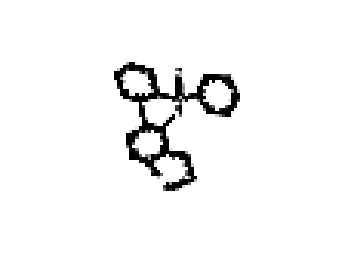 O=S1(c2ccccc2)=Nc2c(ccc3ccccc23)-c2ccccc21